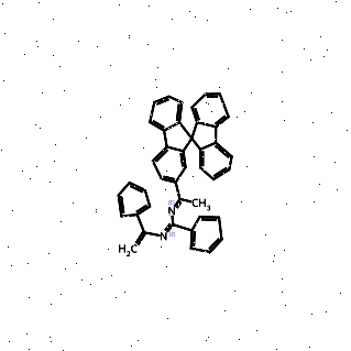 C=C(/N=C(\N=C(/C)c1ccc2c(c1)C1(c3ccccc3-c3ccccc31)c1ccccc1-2)c1ccccc1)c1ccccc1